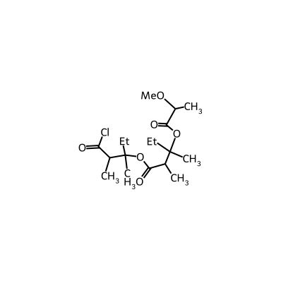 CCC(C)(OC(=O)C(C)C(C)(CC)OC(=O)C(C)OC)C(C)C(=O)Cl